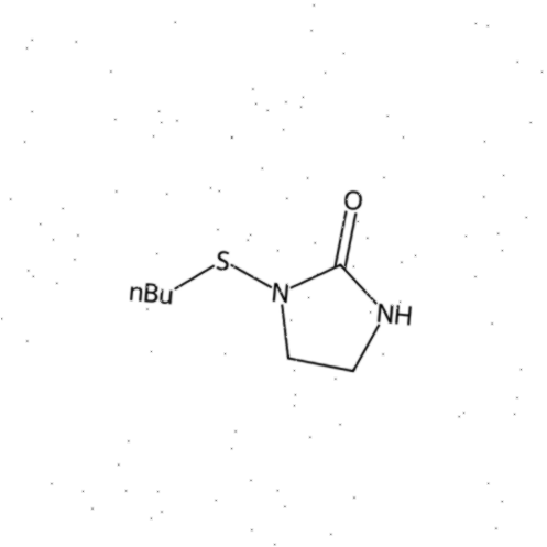 CCCCSN1CCNC1=O